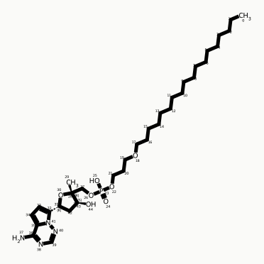 CCCCCCCCCCCCCCCCCCOCCCOP(=O)(O)OC[C@@]1(C)O[C@@H](c2ccc3c(N)ncnn23)C[C@@H]1O